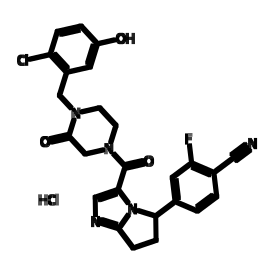 Cl.N#Cc1ccc(C2CCc3ncc(C(=O)N4CCN(Cc5cc(O)ccc5Cl)C(=O)C4)n32)cc1F